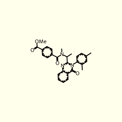 COC(=O)c1ccc(C(=O)N(C)C(C)c2nc3ccccc3c(=O)n2-c2ccc(C)cc2C)cc1